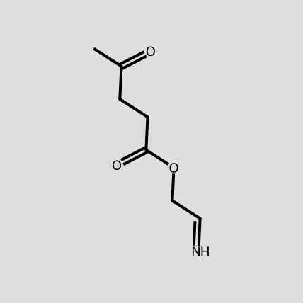 CC(=O)CCC(=O)OCC=N